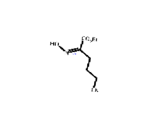 CCOC(=O)/C(CCCC#N)=N\O